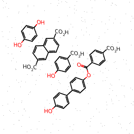 O=C(O)c1ccc(C(=O)Oc2ccc(-c3ccc(O)cc3)cc2)cc1.O=C(O)c1ccc(O)cc1.O=C(O)c1ccc2cc(C(=O)O)ccc2c1.Oc1ccc(O)cc1